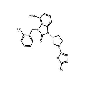 COc1cccc2c1n(Cc1ccccc1C(F)(F)F)c(=O)n2[C@@H]1CCN(c2nnc(C(C)C)o2)C1